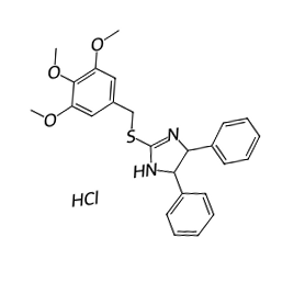 COc1cc(CSC2=NC(c3ccccc3)C(c3ccccc3)N2)cc(OC)c1OC.Cl